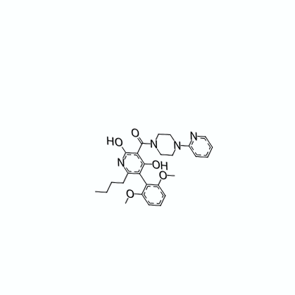 CCCCc1nc(O)c(C(=O)N2CCN(c3ccccn3)CC2)c(O)c1-c1c(OC)cccc1OC